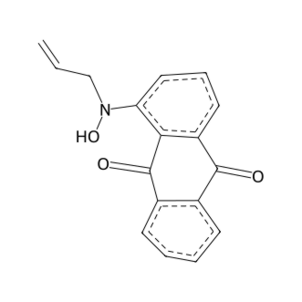 C=CCN(O)c1cccc2c1C(=O)c1ccccc1C2=O